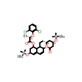 CC[C@H](Oc1c(Cl)cccc1Cl)C(=O)OC1CC(O[Si](C)(C)C(C)(C)C)C=C2C=CC(C)C(CC[C@@H]3C[C@@H](O[Si](C)(C)C(C)(C)C)CC(=O)O3)C21